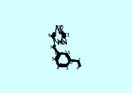 CCc1cccc(Cn2cncn2)c1